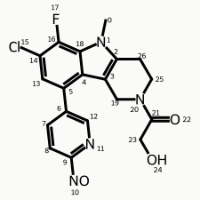 Cn1c2c(c3c(-c4ccc(N=O)nc4)cc(Cl)c(F)c31)CN(C(=O)CO)CC2